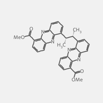 COC(=O)c1cccc2nc3c([C@@H](C)[C@H](C)c4cccc5nc6c(C(=O)OC)cccc6nc45)cccc3nc12